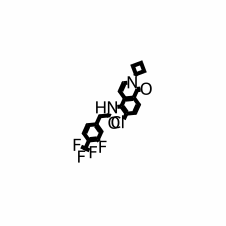 O=C(Cc1ccc(C(F)(F)F)c(F)c1)Nc1c(Cl)ccc2c(=O)n(C3CCC3)ccc12